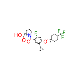 CC1(COc2cc(F)c(C(=O)N3CCC[C@H]3C(=O)O)cc2C2CC2)CCC(C(F)(F)F)CC1